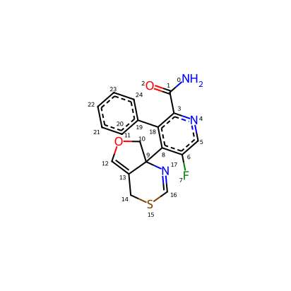 NC(=O)c1ncc(F)c(C23COC=C2CSC=N3)c1-c1ccccc1